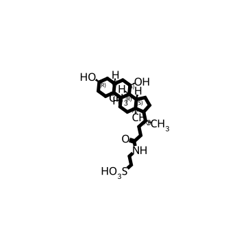 C[C@H](CCC(=O)NCCS(=O)(=O)O)C1CC[C@H]2[C@@H]3[C@@H](O)C[C@@H]4C[C@H](O)CC[C@]4(C)[C@H]3CC[C@]12C